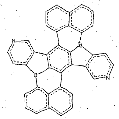 c1cc2c3c(cccc3c1)-c1c3c(c4c5c1-c1cnccc1B5c1cccc5cccc-4c15)-c1cnccc1B32